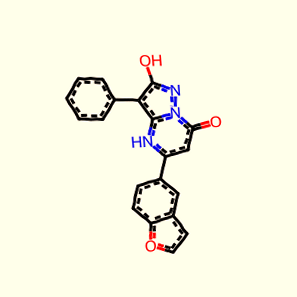 O=c1cc(-c2ccc3occc3c2)[nH]c2c(-c3ccccc3)c(O)nn12